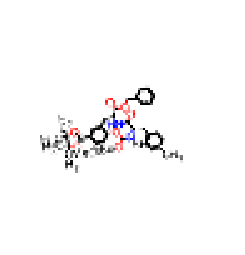 COc1ccc(C[C@H](NC(=O)[C@H](Cc2ccc(C)cc2)N(C)C(=O)OC(C)(C)C)C(=O)OCc2ccccc2)cc1B1OC(C)(C)C(C)(C)O1